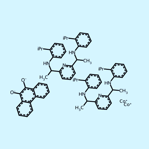 CC(C)c1ccccc1NC(C)c1cccc(C(C)Nc2ccccc2C(C)C)n1.CC(C)c1ccccc1NC(C)c1cccc(C(C)Nc2ccccc2C(C)C)n1.[Co+].[Co+].[O-]c1c([O-])c2ccccc2c2ccccc12